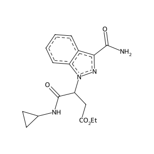 CCOC(=O)CC(C(=O)NC1CC1)n1nc(C(N)=O)c2ccccc21